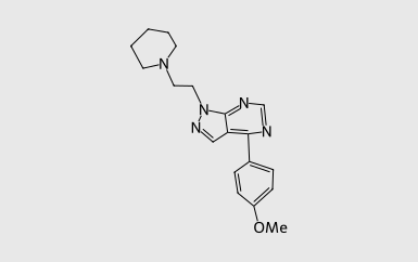 COc1ccc(-c2ncnc3c2cnn3CCN2CCCCC2)cc1